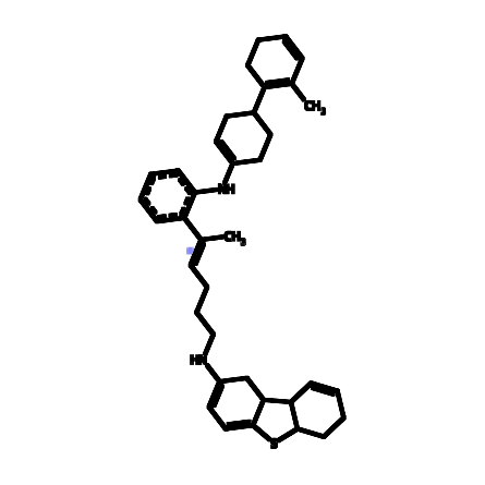 CC1=C(C2CC=C(Nc3ccccc3/C(C)=C/CCCNC3=CC=C4SC5CCC=CC5C4C3)CC2)CCC=C1